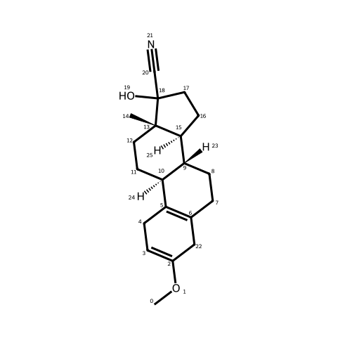 COC1=CCC2=C(CC[C@@H]3[C@@H]2CC[C@@]2(C)[C@H]3CCC2(O)C#N)C1